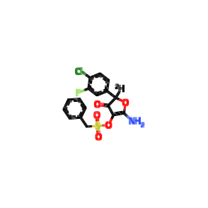 [2H]C1(c2ccc(Cl)c(F)c2)OC(N)=C(OS(=O)(=O)Cc2ccccc2)C1=O